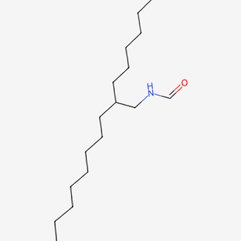 CCCCCCCCC(CCCCCC)CNC=O